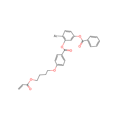 C=CC(=O)OCCCCOc1ccc(C(=O)Oc2cc(OC(=O)c3ccccc3)ccc2C(C)=O)cc1